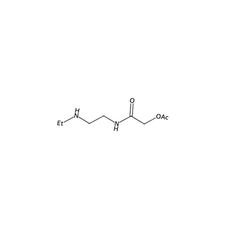 CCNCCNC(=O)COC(C)=O